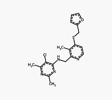 Cc1nc(C)c(Cl)c(NCc2nccc(SCc3ccco3)c2C)n1